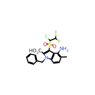 Cc1ccc2c(c1N)c(S(=O)(=O)C(F)C(F)F)c(C(=O)O)n2Cc1ccccc1